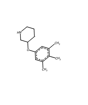 Cc1cc(OC2[CH]CCNC2)cc(C)c1C